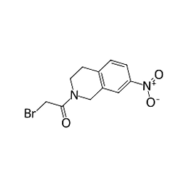 O=C(CBr)N1CCc2ccc([N+](=O)[O-])cc2C1